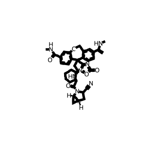 C=C(NC)c1ccc2c(c1)CCc1cc(C(=O)NC)ccc1C2(CCNCC(=O)N1C(C#N)C[C@@H]2C[C@@H]21)c1nc(=O)on1C1CCCCC1